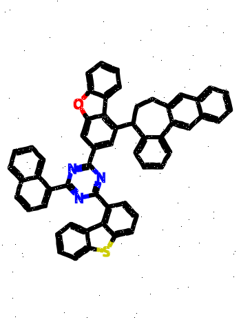 c1ccc2c(c1)-c1cc3ccccc3cc1CCC2c1cc(-c2nc(-c3cccc4ccccc34)nc(-c3cccc4sc5ccccc5c34)n2)cc2oc3ccccc3c12